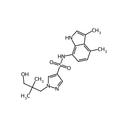 Cc1ccc(NS(=O)(=O)c2cnn(CC(C)(C)CO)c2)c2[nH]cc(C)c12